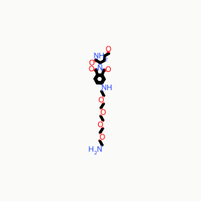 NCCOCCOCCOCCOCCNc1ccc2c(c1)C(=O)N(C(CCC=O)C(N)=O)C2=O